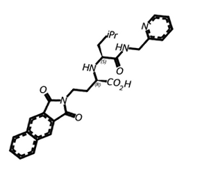 CC(C)C[C@H](N[C@H](CCN1C(=O)c2cc3ccccc3cc2C1=O)C(=O)O)C(=O)NCc1ccccn1